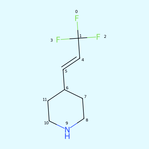 FC(F)(F)C=CC1CCNCC1